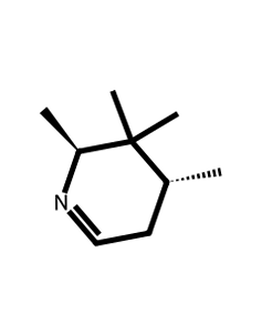 C[C@@H]1CC=N[C@@H](C)C1(C)C